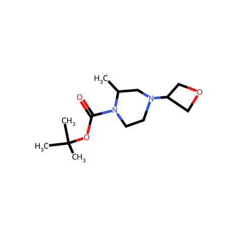 CC1CN(C2COC2)CCN1C(=O)OC(C)(C)C